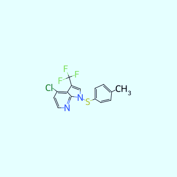 Cc1ccc(Sn2cc(C(F)(F)F)c3c(Cl)ccnc32)cc1